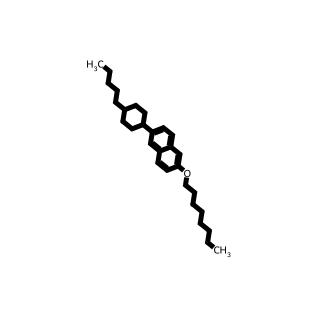 CCCCCCCCOc1ccc2cc(C3CCC(CCCCC)CC3)ccc2c1